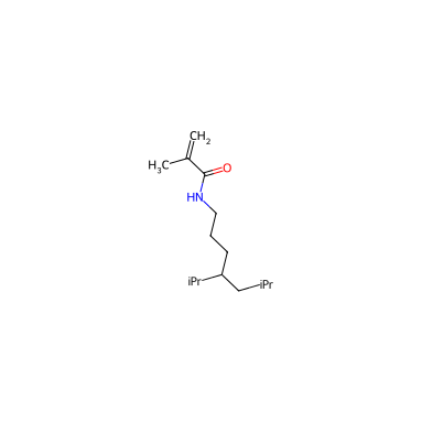 C=C(C)C(=O)NCCCC(CC(C)C)C(C)C